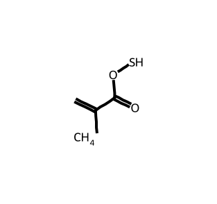 C.C=C(C)C(=O)OS